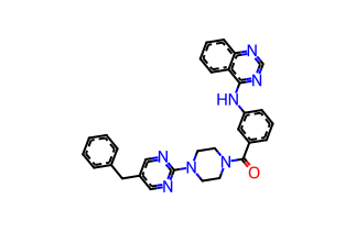 O=C(c1cccc(Nc2ncnc3ccccc23)c1)N1CCN(c2ncc(Cc3ccccc3)cn2)CC1